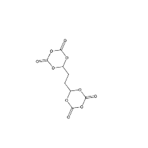 O=C1OC(=O)OC(CCC2OC(=O)OC(=O)O2)O1